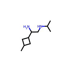 CC1CC(C(N)CNC(C)C)C1